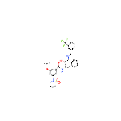 CC(C)Oc1cc(C(=O)N[C@@H](Cc2ccccc2)[C@H](O)CNCc2cccc(C(F)(F)F)c2)cc(N2CCCCS2(O)O)c1